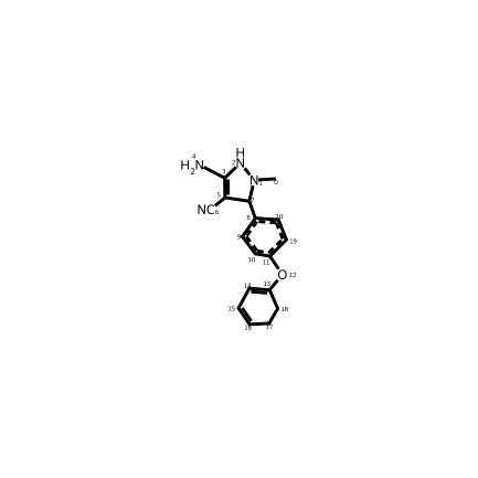 CN1NC(N)=C(C#N)C1c1ccc(OC2=CC=CCC2)cc1